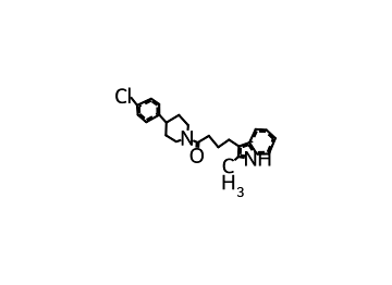 Cc1[nH]c2ccccc2c1CCCC(=O)N1CCC(c2ccc(Cl)cc2)CC1